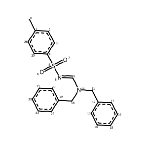 Cc1ccc(S(=O)(=O)N=CN(Cc2ccccc2)Cc2ccccc2)cc1